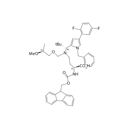 CO[C@@H](C)COCN(CC[C@H](NC(=O)OCC1c2ccccc2-c2ccccc21)C(=O)O)[C@@H](c1cc(-c2cc(F)ccc2F)cn1Cc1ccccc1)C(C)(C)C